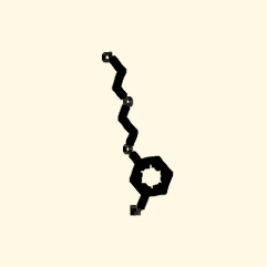 ClCCOCCOc1cccc(Br)c1